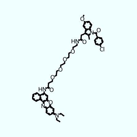 CC[N+](CC)=c1ccc2nc3c(cc(NC(=O)CCOCCOCCOCCOCCNC(=O)Cc4c(C)n(C(=O)c5ccc(Cl)cc5)c5ccc(OC)cc45)c4ccccc43)oc-2c1